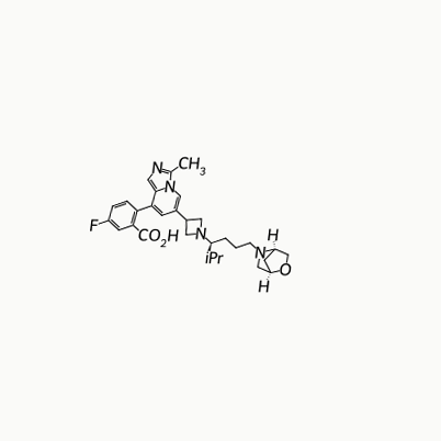 Cc1ncc2c(-c3ccc(F)cc3C(=O)O)cc(C3CN([C@@H](CCCN4C[C@H]5C[C@@H]4CO5)C(C)C)C3)cn12